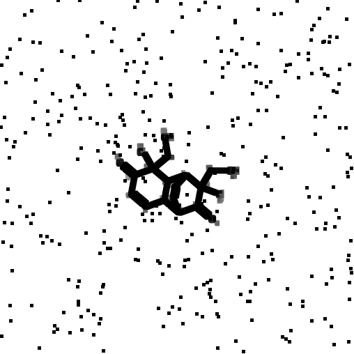 O=C1C2C=CC(C3C2C=CC(=O)C3(Cl)CO)C1(Cl)CO